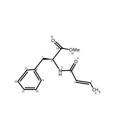 CC=CC(=O)N[C@@H](Cc1ccccc1)C(=O)OC